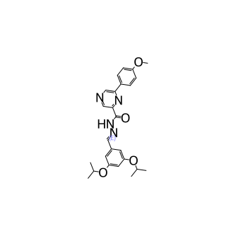 COc1ccc(-c2cncc(C(=O)N/N=C/c3cc(OC(C)C)cc(OC(C)C)c3)n2)cc1